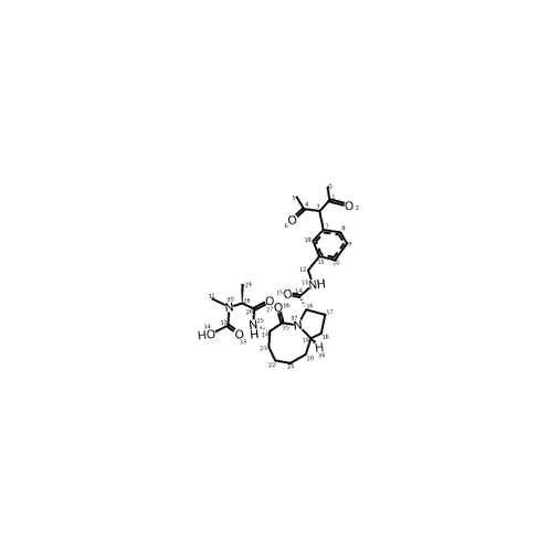 CC(=O)C(C(C)=O)c1cccc(CNC(=O)[C@@H]2CC[C@@H]3CCCC[C@H](NC(=O)[C@H](C)N(C)C(=O)O)C(=O)N32)c1